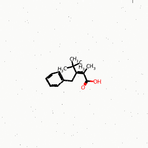 CC(C(=O)O)=C(Cc1ccccc1)C(C)(C)C